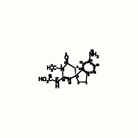 CN1C(=O)C[C@]2(CCc3ccc(N)cc32)N=C1NC(=O)O